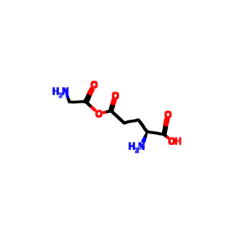 NCC(=O)OC(=O)CC[C@H](N)C(=O)O